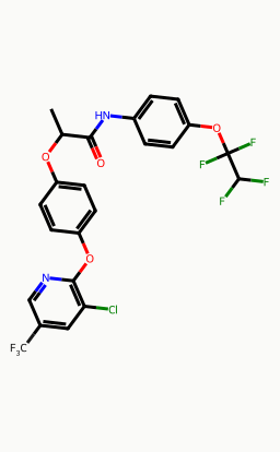 CC(Oc1ccc(Oc2ncc(C(F)(F)F)cc2Cl)cc1)C(=O)Nc1ccc(OC(F)(F)C(F)F)cc1